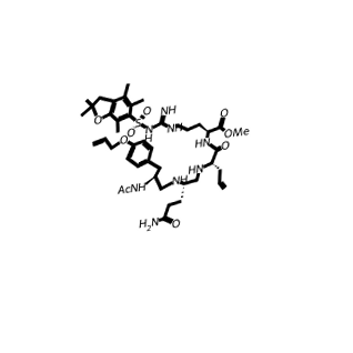 C=CCOc1ccc(C[C@@H](CN[C@@H](CCC(N)=O)CN[C@@H](CC=C)C(=O)N[C@@H](CCCNC(=N)NS(=O)(=O)c2c(C)c(C)c3c(c2C)OC(C)(C)C3)C(=O)OC)NC(C)=O)cc1